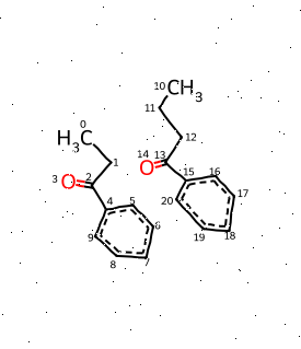 CCC(=O)c1ccccc1.CCCC(=O)c1ccccc1